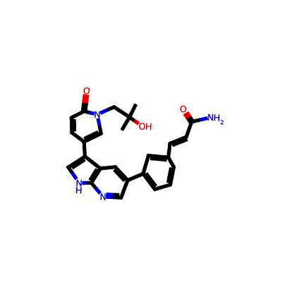 CC(C)(O)Cn1cc(-c2c[nH]c3ncc(-c4cccc(C=CC(N)=O)c4)cc23)ccc1=O